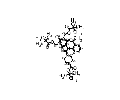 C=Cc1ccccc1-n1c(N2CCN(C(=O)OC(C)(C)C)CC2)nc2c1c(=O)n(COC(=O)C(C)(C)C)c(=O)n2COC(=O)C(C)(C)C